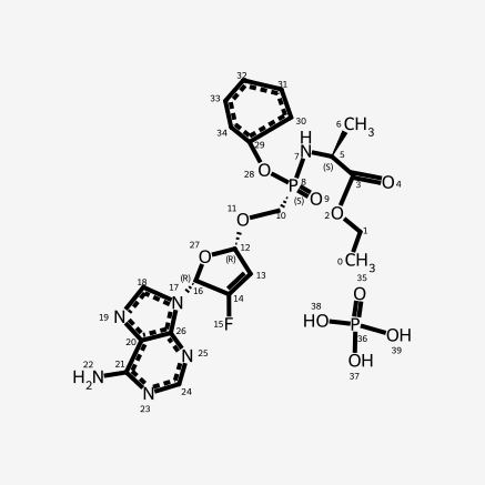 CCOC(=O)[C@H](C)N[P@](=O)(CO[C@@H]1C=C(F)[C@H](n2cnc3c(N)ncnc32)O1)Oc1ccccc1.O=P(O)(O)O